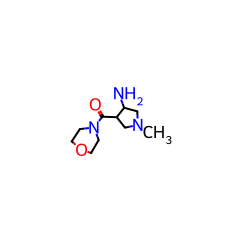 CN1CC(N)C(C(=O)N2CCOCC2)C1